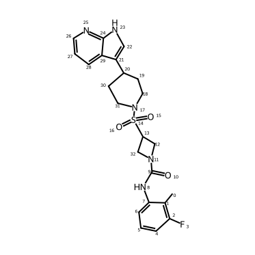 Cc1c(F)cccc1NC(=O)N1CC(S(=O)(=O)N2CCC(c3c[nH]c4ncccc34)CC2)C1